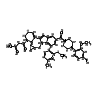 CCc1nc(C)ccc1-c1cc(C(=O)N2CCN(c3ncc(F)cc3OC)CC2)cc2cc(C3=CCCN(C(=O)CC(=O)O)C3)n(CC3CC3)c12